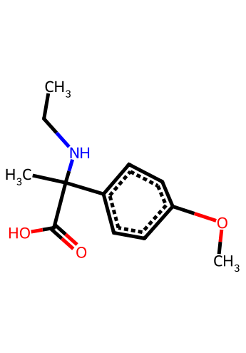 CCNC(C)(C(=O)O)c1ccc(OC)cc1